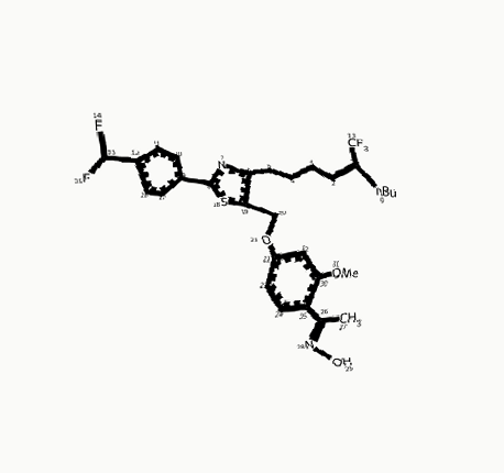 CCCCC(CCCCc1nc(-c2ccc(C(F)F)cc2)sc1COc1ccc(/C(C)=N/O)c(OC)c1)C(F)(F)F